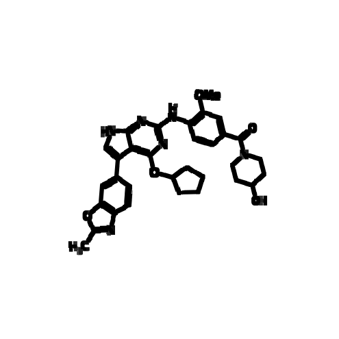 COc1cc(C(=O)N2CCC(O)CC2)ccc1Nc1nc(OC2CCCC2)c2c(-c3ccc4nc(C)oc4c3)c[nH]c2n1